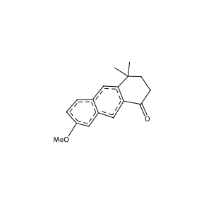 COc1ccc2cc3c(cc2c1)C(=O)CCC3(C)C